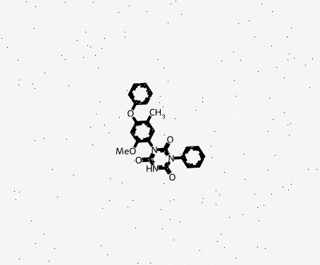 COc1cc(Oc2ccccc2)c(C)cc1-n1c(=O)[nH]c(=O)n(-c2ccccc2)c1=O